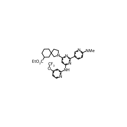 CCOC(=O)C1CCCC2(CCN(c3cc(Nc4cc(OC(F)(F)F)ccn4)nc(-c4ccc(NC)nc4)n3)C2)C1